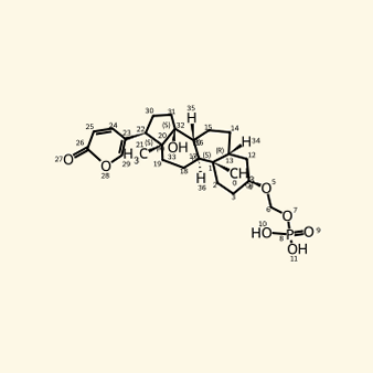 C[C@]12CC[C@H](OCOP(=O)(O)O)C[C@H]1CC[C@@H]1[C@@H]2CC[C@]2(C)[C@@H](c3ccc(=O)oc3)CC[C@]12O